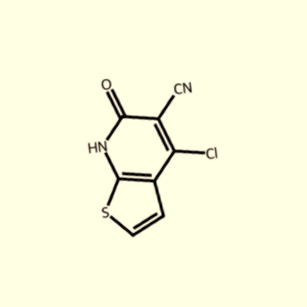 N#Cc1c(Cl)c2ccsc2[nH]c1=O